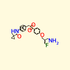 CC1(C(=O)NC23CCC(CS(=O)(=O)c4ccc(OC/C(=C/F)CN)cc4)(CC2)CC3)CC1